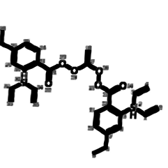 C=C[SiH](C=C)c1cc(CC)ccc1C(=O)OOC(=C)OOC(=O)c1ccc(CC)cc1[SiH](C=C)C=C